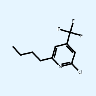 CCCCc1cc(C(F)(F)F)cc(Cl)n1